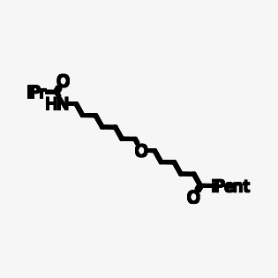 CCCC(C)C(=O)CCCCCOCCCCCCCNC(=O)C(C)C